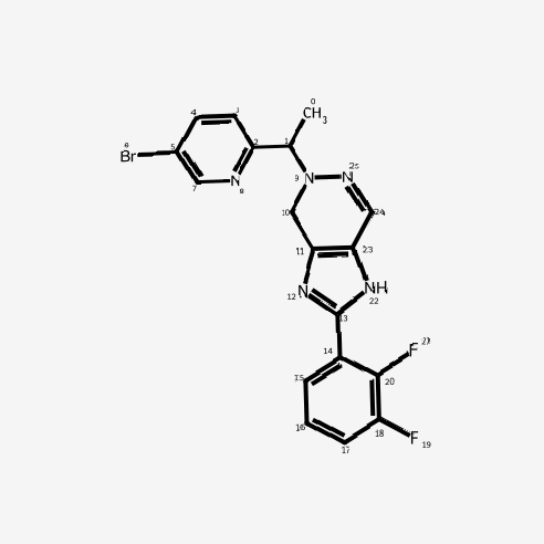 CC(c1ccc(Br)cn1)N1Cc2nc(-c3cccc(F)c3F)[nH]c2C=N1